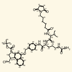 CC(C)[C@H](NC(=O)CCCCCN1C(=O)C=CC1=O)C(=O)N[C@@H](CCCNC(N)=O)C(=O)Nc1ccc(COc2cc3c(c4ccccc24)C(CCl)CN3C(=O)OC(C)(C)C)cc1